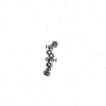 O=C(N[C@H]1CCc2cc(CNCC3CCCO3)ccc2C1)c1ccc(OC[C@@H]2CCCO2)cc1